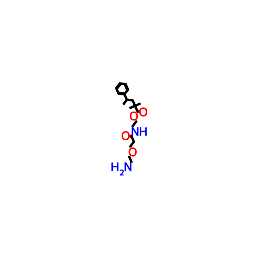 CC(CC(C)(C)C(=O)OCCNC(=O)CCOCCN)c1ccccc1